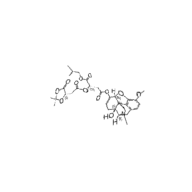 COc1ccc2c3c1O[C@H]1C(OC(=O)C[C@H](OC(=O)C[C@@H]4OC(C)(C)OC4=O)C(=O)OCC(C)C)=CC[C@@]4(O)[C@@H](C2)N(C)CC[C@]314